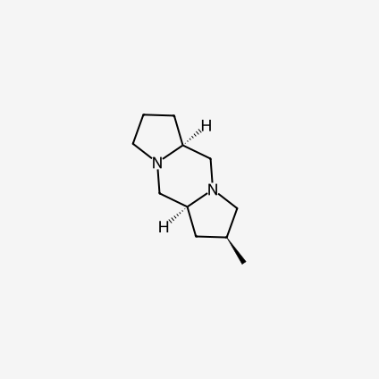 C[C@H]1C[C@H]2CN3CCC[C@H]3CN2C1